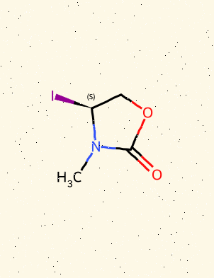 CN1C(=O)OC[C@@H]1I